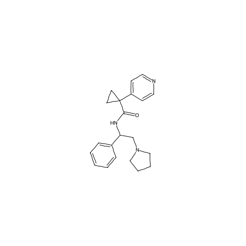 O=C(NC(CN1CCCC1)c1ccccc1)C1(c2ccncc2)CC1